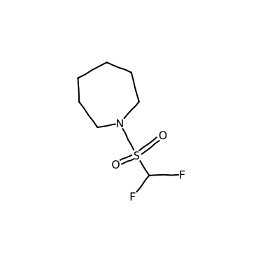 O=S(=O)(C(F)F)N1CCCCCC1